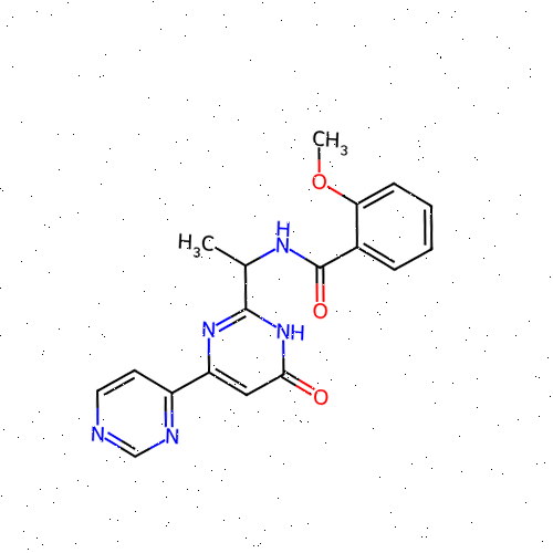 COc1ccccc1C(=O)NC(C)c1nc(-c2ccncn2)cc(=O)[nH]1